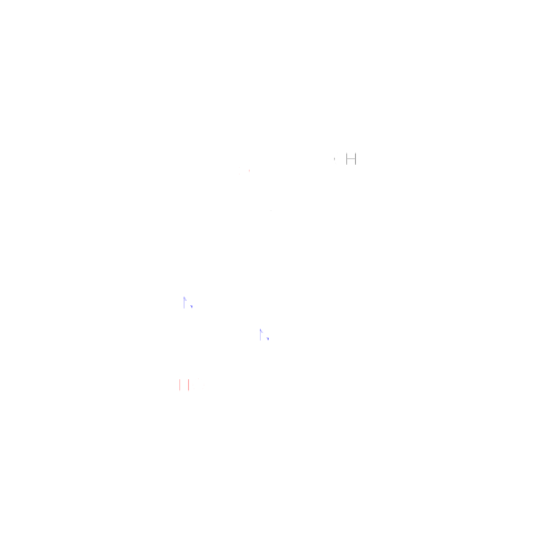 CCC(=O)c1cnc(O)nc1